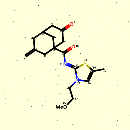 C=C1CC2CC(=O)CC(C(=O)/N=c3\sc(C)cn3CCOC)(C1)C2